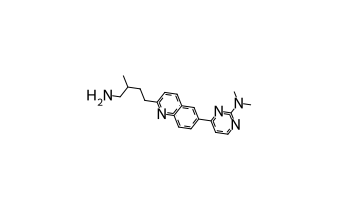 CC(CN)CCc1ccc2cc(-c3ccnc(N(C)C)n3)ccc2n1